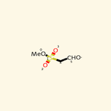 COS(=O)(=O)C[C]=O